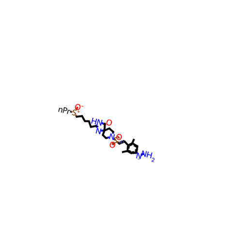 CCC[S+]([O-])CCCCCC1=NC2(CCN(S(=O)(=O)/C=C/c3c(C)cc(N(C)N)cc3C)CC2)C(=O)N1